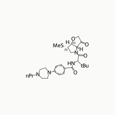 CCCN1CCN(c2ccc(C(=O)NC(C(=O)N3C[C@H](SC)[C@H]4OCC(=O)[C@H]43)C(C)(C)C)cc2)CC1